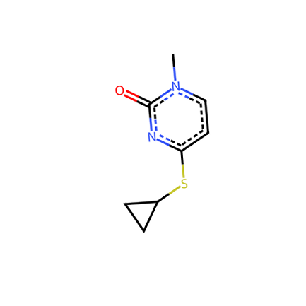 Cn1ccc(SC2CC2)nc1=O